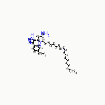 CCCCCCCC/C=C\CCCCCCCCNC(CCN)c1[nH]nnc1-c1ccc(C)cc1